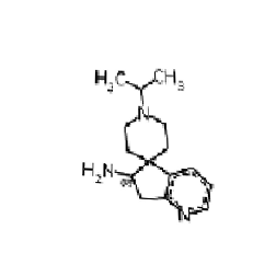 CC(C)N1CCC2(CC1)c1cccnc1C[C@H]2N